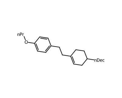 CCCCCCCCCCC1CC=C(CCc2ccc(OCCC)cc2)CC1